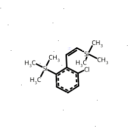 C[Si](C)(C)/C=C\c1c(Cl)cccc1[Si](C)(C)C